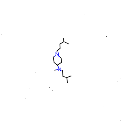 CC(C)CCCN1CCC(N(C)CCC(C)C)CC1